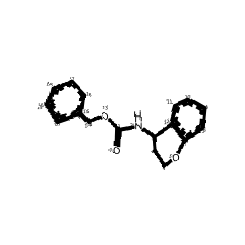 O=C(NC1CCOc2ccccc21)OCc1ccccc1